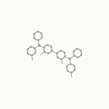 Cc1ccc(N(c2ccccc2)c2ccc(-c3ccc(N(c4ccccc4)c4cccc(C)c4)c(C)c3)cc2C)cc1